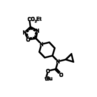 CCOC(=O)c1noc(N2CCC(N(C(=O)OC(C)(C)C)C3CC3)CC2)n1